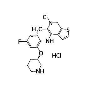 CC1=C(Nc2ccc(F)cc2O[C@@H]2CCCNC2)c2ccsc2CN1Cl.Cl